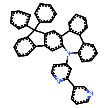 c1ccc(C2(c3ccccc3)c3ccccc3-c3cc4c(cc32)-c2ccccc2-c2ccccc2N4c2ccnc(-c3cccnc3)c2)cc1